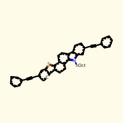 CCCCCCCCn1c2cc(C#Cc3ccccc3)ccc2c2ccc3c(ccc4c5ccc(C#Cc6ccccc6)cc5sc43)c21